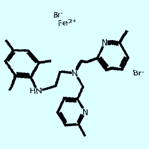 Cc1cc(C)c(NCCN(Cc2cccc(C)n2)Cc2cccc(C)n2)c(C)c1.[Br-].[Br-].[Fe+2]